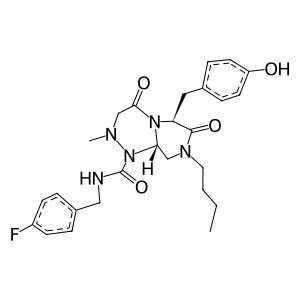 CCCCN1C[C@H]2N(C(=O)CN(C)N2C(=O)NCc2ccc(F)cc2)[C@@H](Cc2ccc(O)cc2)C1=O